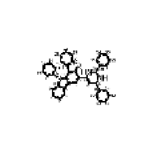 C1=C(c2cc3c4ccccc4n(-c4ccccc4)c3c3c2oc2ccccc23)NC(c2ccccc2)NC1c1ccccc1